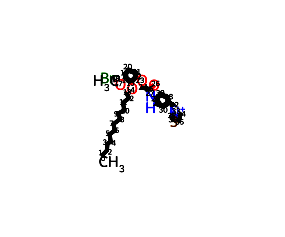 CCCCCCCCCCCCCCOc1c(OC)cccc1OCC(=O)Nc1ccc(C[n+]2ccsc2)cc1.[Br-]